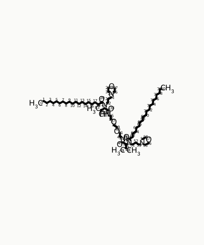 CCCCCCCCCCCCCCCCCCCC(=O)N(CCCN1CCOCC1)C(C(=O)NCCOCCOCCNC(=O)C(C(C)C)N(CCCN1CCOCC1)C(=O)CCCCCCCCCCCCCCCCCCC)C(C)C